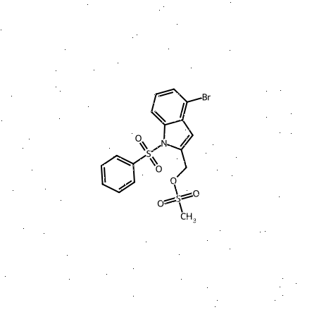 CS(=O)(=O)OCc1cc2c(Br)cccc2n1S(=O)(=O)c1ccccc1